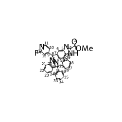 COC(=O)c1nc2cc3c(-c4ccnc(F)c4)nn(C(c4ccccc4)(c4ccccc4)c4ccccc4)c3cc2[nH]1